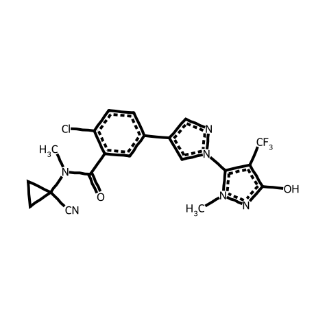 CN(C(=O)c1cc(-c2cnn(-c3c(C(F)(F)F)c(O)nn3C)c2)ccc1Cl)C1(C#N)CC1